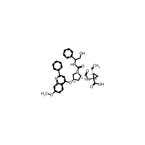 C=C[C@@H]1C[C@]1(NC(=O)[C@@H]1C[C@@H](Oc2cc(-c3ccccc3)nc3cc(OC)ccc23)CN1C(=O)NC(CO)c1ccccc1)C(=O)O